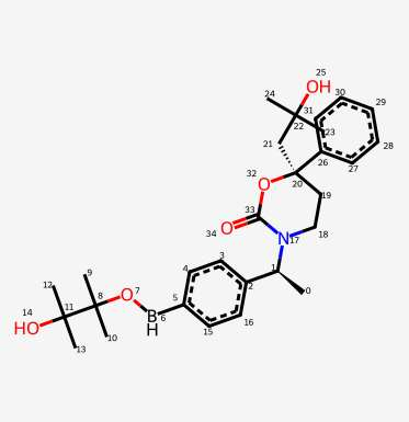 C[C@@H](c1ccc(BOC(C)(C)C(C)(C)O)cc1)N1CC[C@](CC(C)(C)O)(c2ccccc2)OC1=O